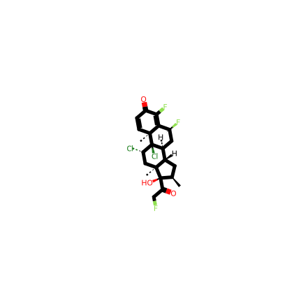 C[C@@H]1C[C@H]2[C@@H]3C[C@H](F)C4=C(F)C(=O)C=C[C@]4(C)[C@@]3(Cl)[C@@H](Cl)C[C@]2(C)[C@@]1(O)C(=O)CF